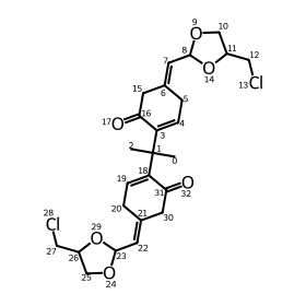 CC(C)(C1=CCC(=CC2OCC(CCl)O2)CC1=O)C1=CCC(=CC2OCC(CCl)O2)CC1=O